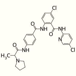 CC(C(=O)Nc1ccc(C(=O)Nc2ccc(Cl)cc2C(=O)Nc2ccc(Cl)cn2)cc1)N1CCCC1